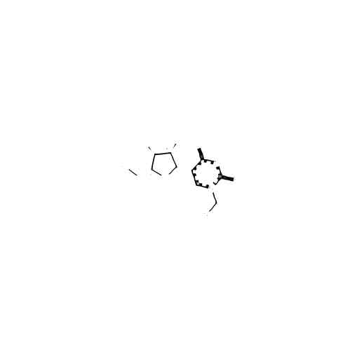 NCn1cc([C@@H]2O[C@H](CO)[C@@H](O)[C@H]2O)c(=O)[nH]c1=O